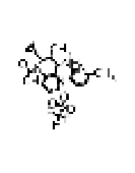 CC(=O)N1c2ccc(OS(=O)(=O)C(F)(F)F)nc2[C@H](Nc2cccc(C)n2)[C@@H](C)C1C1CC1